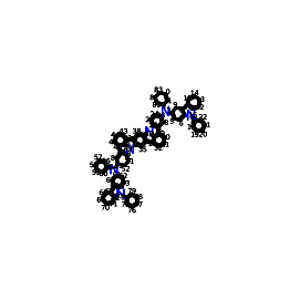 C1=CC(N(C2=CC=C3C(C2)C2=C(CCC=C2)N3c2ccccc2)c2ccc3c(c2)c2cccc4c5cc6c(cc5n3c24)c2cccc3c4c(n6c32)=CCC(N(c2ccccc2)c2ccc3c(c2)c2ccccc2n3-c2ccccc2)C=4)=CCC1